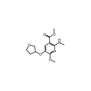 CNc1nc(OC)c(OC2CCOC2)cc1C(=O)OC